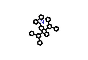 c1ccc(-c2cc(-c3ccccc3)cc(-c3c4ccccc4c(-c4cc(-c5ccccc5)cc(-c5ccccc5)c4)c4cc(-c5nc6ccccc6c6ccccc56)ccc34)c2)cc1